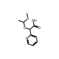 COC(C)OC(C(=O)O)c1ccccn1